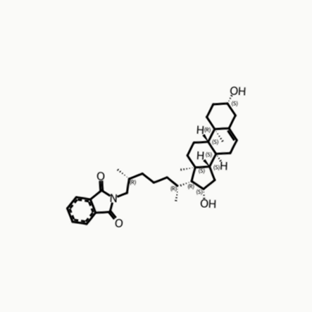 C[C@H](CCC[C@@H](C)[C@H]1[C@@H](O)C[C@H]2[C@@H]3CC=C4C[C@@H](O)CC[C@]4(C)[C@H]3CC[C@]12C)CN1C(=O)c2ccccc2C1=O